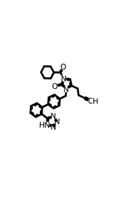 C#CCCc1cn(C(=O)C2CCCCC2)c(=O)n1Cc1ccc(-c2ccccc2-c2nnn[nH]2)cc1